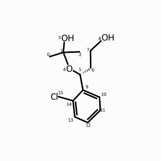 CC(C)(O)O[C@H](CCO)c1ccccc1Cl